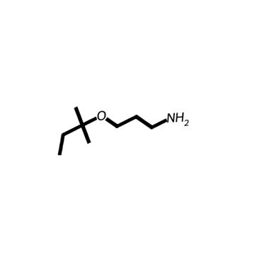 CCC(C)(C)OCCCN